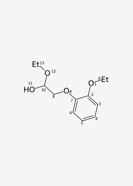 CCOc1ccccc1OCC(O)OCC